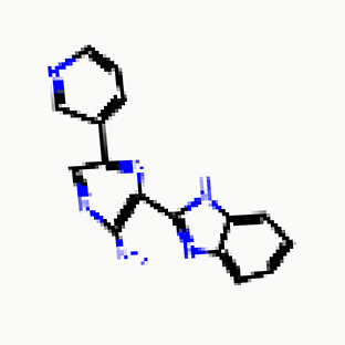 Nc1ncc(-c2cccnc2)nc1-c1nc2ccccc2[nH]1